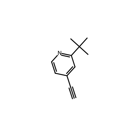 C#Cc1ccnc(C(C)(C)C)c1